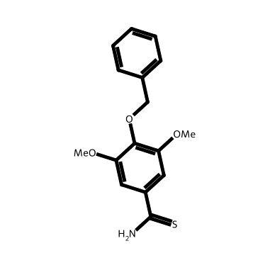 COc1cc(C(N)=S)cc(OC)c1OCc1ccccc1